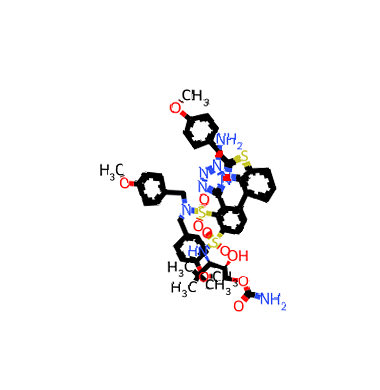 COc1ccc(CN(Cc2ccc(OC)cc2)S(=O)(=O)c2c(S(=O)(=O)N[C@@H]([C@@H](O)COC(N)=O)C(C)(C)C)ccc(-c3cccc4sc(CN)nc34)c2-c2nnn(Cc3ccc(OC)cc3)n2)cc1